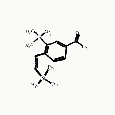 CC(=O)c1ccc(/C=C\[Si](C)(C)C)c([Si](C)(C)C)c1